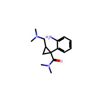 CN(C)CC1CC1(C(=O)N(C)C)c1ccccc1N